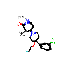 CCCCn1ccc(N2CCC(OCCF)(c3cccc(Cl)c3)CC2)c(C#N)c1=O